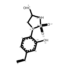 C=Cc1ccc(N2CC(C=O)NS2(=O)=O)c(O)c1